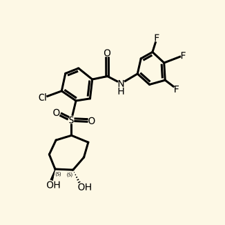 O=C(Nc1cc(F)c(F)c(F)c1)c1ccc(Cl)c(S(=O)(=O)C2CC[C@H](O)[C@@H](O)CC2)c1